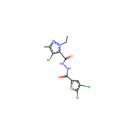 CCn1nc(C)c(Br)c1C(=O)NNC(=O)c1cc(Br)c(Br)s1